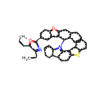 C=Cc1nc(-c2ccc3oc4cc5ccccc5c(-n5c6ccccc6c6ccc7sc8ccccc8c7c65)c4c3c2)oc1/C=C\C